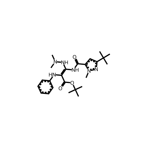 CN(C)N/C(NC(=O)c1cc(C(C)(C)C)nn1C)=C(\Nc1ccccc1)C(=O)OC(C)(C)C